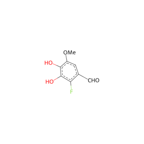 COc1cc(C=O)c(F)c(O)c1O